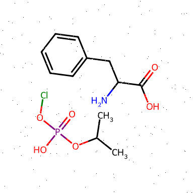 CC(C)OP(=O)(O)OCl.NC(Cc1ccccc1)C(=O)O